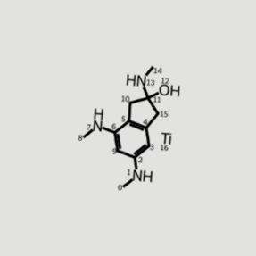 CNc1cc2c(c(NC)c1)CC(O)(NC)C2.[Ti]